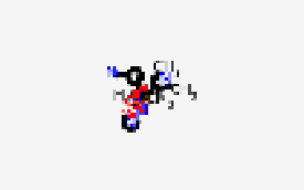 Cc1cc(-c2sc(NC(=O)N3C4CC3CN(C(=O)OC(C)(C)C)C4)nc2-c2cccc(C#N)c2)cc(C)n1